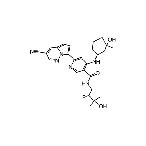 CC1(O)CCC[C@H](Nc2cc(-c3ccc4cc(C#N)cnn34)ncc2C(=O)NC[C@@H](F)C(C)(C)O)C1